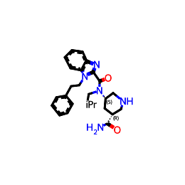 CC(C)CN(C(=O)c1nc2ccccc2n1CCc1ccccc1)[C@@H]1CNC[C@H](C(N)=O)C1